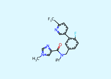 CC(C)N(Cc1ccc(F)c(-c2ccc(C(F)(F)F)nc2)c1)C(=O)c1cn(C)cn1